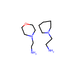 NCCN1CCCCC1.NCCN1CCOCC1